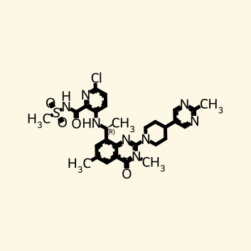 Cc1cc([C@@H](C)Nc2ccc(Cl)nc2C(=O)NS(C)(=O)=O)c2nc(N3CCC(c4cnc(C)nc4)CC3)n(C)c(=O)c2c1